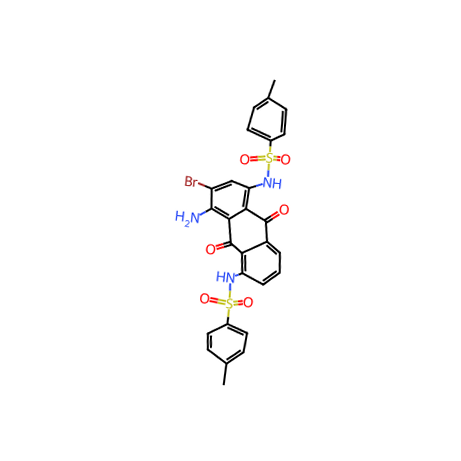 Cc1ccc(S(=O)(=O)Nc2cccc3c2C(=O)c2c(N)c(Br)cc(NS(=O)(=O)c4ccc(C)cc4)c2C3=O)cc1